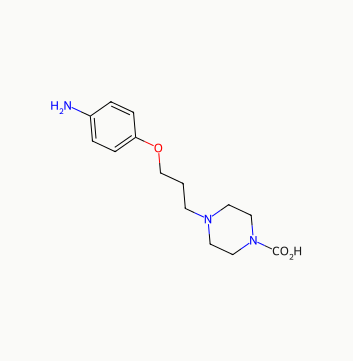 Nc1ccc(OCCCN2CCN(C(=O)O)CC2)cc1